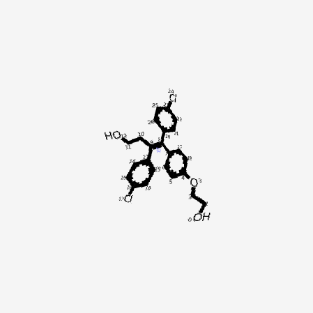 OCCOc1ccc(/C(=C(/CCO)c2ccc(Cl)cc2)c2ccc(Cl)cc2)cc1